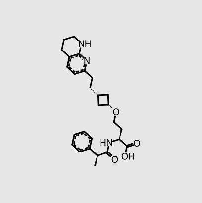 C[C@H](C(=O)N[C@@H](CCO[C@H]1C[C@@H](CCc2ccc3c(n2)NCCC3)C1)C(=O)O)c1ccccc1